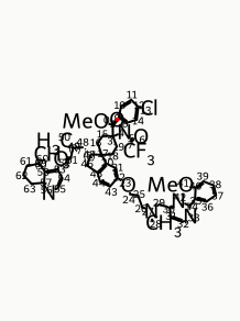 COC(=O)C1(N(C(=O)C(F)(F)F)c2cccc(Cl)c2)CCC2(CC1)c1cc(OCCCN(C)Cc3ccnc(-c4ccccc4OC)n3)ccc1C[C@@H]2C[C@@H](C)COc1ccnc2c1[C@H](C)CCC2